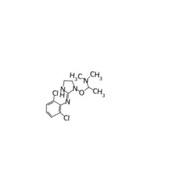 CC(ON1CCNC1=Nc1c(Cl)cccc1Cl)N(C)C